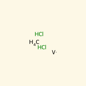 C.Cl.Cl.[V]